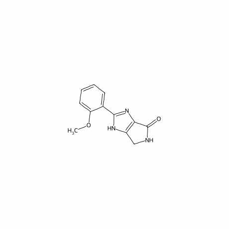 COc1ccccc1-c1nc2c([nH]1)CNC2=O